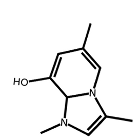 CC1=CN2C(C)=CN(C)C2C(O)=C1